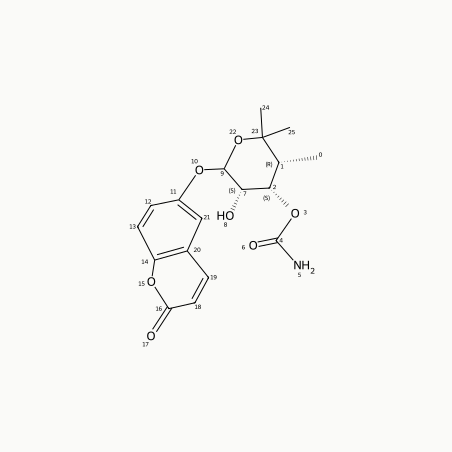 C[C@@H]1[C@H](OC(N)=O)[C@H](O)C(Oc2ccc3oc(=O)ccc3c2)OC1(C)C